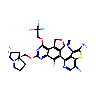 C=Nc1c(N)sc2c(F)cnc(-c3c4c(c5c(OCC(F)(F)F)nc(OC[C@@]67CCCN6C[C@H](F)C7)nc5c3F)COC4)c12